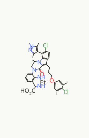 CCNc1c(C(=N)C(=O)O)cccc1N1C[C@@H](C)n2c(c(CCCOc3cc(C)c(Cl)c(C)c3)c3ccc(Cl)c(-c4c(C)nn(C)c4C)c32)C1=O